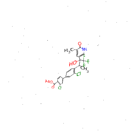 Cc1cc(C(O)(C(C)c2ccc(-c3ccc(C(=O)O)c(Cl)c3)cc2Cl)C(F)(F)F)c[nH]c1=O